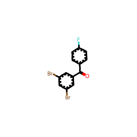 O=C(c1ccc(F)cc1)c1cc(Br)cc(Br)c1